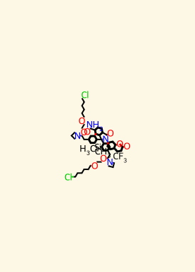 C[Si]1(C)c2cc(CC(OCCOCCCCCCCl)N3CCC3)ccc2C2(c3cc(C(N)=O)ccc3C(=O)N2c2ccc3c(C(F)(F)F)cc(=O)oc3c2)c2ccc(CC(OCCOCCCCCCCl)N3CCC3)cc21